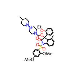 CCOc1ccccc1C1(OC(=O)N2CCN(N3CCC(C)CC3)CC2)C(=O)N(S(=O)(=O)c2ccc(OC)cc2OC)c2cccc(C)c21